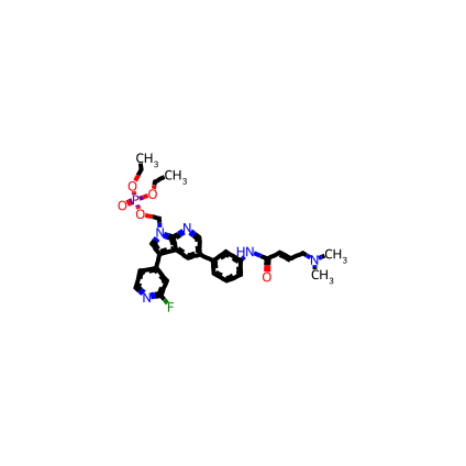 CCOP(=O)(OCC)OCn1cc(-c2ccnc(F)c2)c2cc(-c3cccc(NC(=O)/C=C/CN(C)C)c3)cnc21